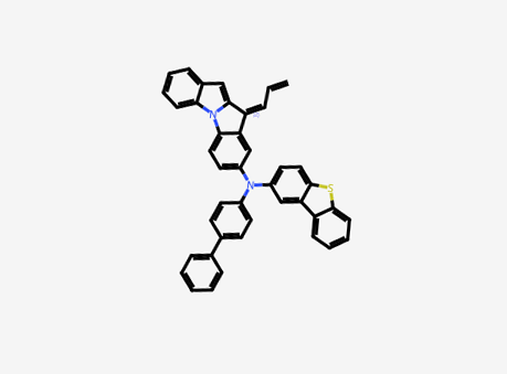 C=C/C=c1/c2cc(N(c3ccc(-c4ccccc4)cc3)c3ccc4sc5ccccc5c4c3)ccc2n2c1cc1ccccc12